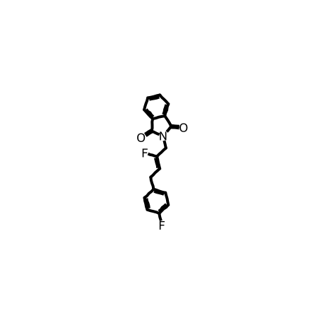 O=C1c2ccccc2C(=O)N1C/C(F)=C/Cc1ccc(F)cc1